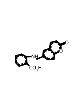 O=C(O)c1ccccc1NCc1ccc2oc(=O)ccc2c1